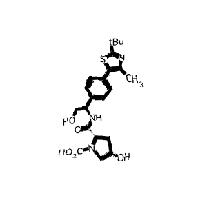 Cc1nc(C(C)(C)C)sc1-c1ccc(C(CO)NC(=O)[C@@H]2C[C@@H](O)CN2C(=O)O)cc1